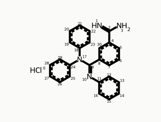 Cl.N=C(N)c1cccc(C(=Nc2ccccc2)N(c2ccccc2)c2ccccc2)c1